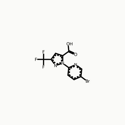 O=C(O)c1cc(C(F)(F)F)nn1-c1ccc(Br)cn1